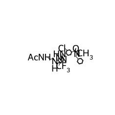 CC(=O)NCCNc1nc(Nc2ccc(C(=O)N(C)Cc3ccccc3)cc2Cl)ncc1C(F)(F)F